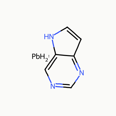 [PbH2].c1ncc2[nH]ccc2n1